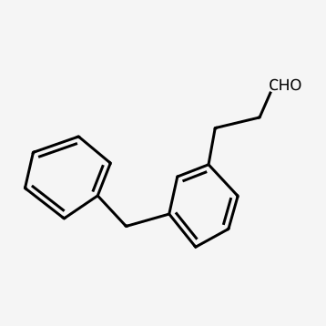 O=CCCc1cccc(Cc2ccccc2)c1